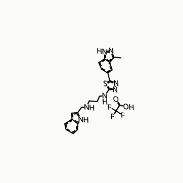 Cc1n[nH]c2ccc(-c3nnc(NCCCNCc4cc5ccccc5[nH]4)s3)cc12.O=C(O)C(F)(F)F